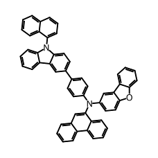 c1ccc2c(-n3c4ccccc4c4cc(-c5ccc(N(c6ccc7oc8ccccc8c7c6)c6cc7ccccc7c7ccccc67)cc5)ccc43)cccc2c1